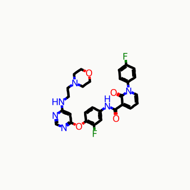 O=C(Nc1ccc(Oc2cc(NCCN3CCOCC3)ncn2)c(F)c1)c1cccn(-c2ccc(F)cc2)c1=O